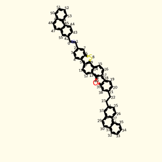 C(=C\c1ccc2c(c1)sc1c2ccc2c1ccc1c3ccc(CCc4ccc5c(ccc6ccccc65)c4)cc3oc12)/c1ccc2c(ccc3ccccc32)c1